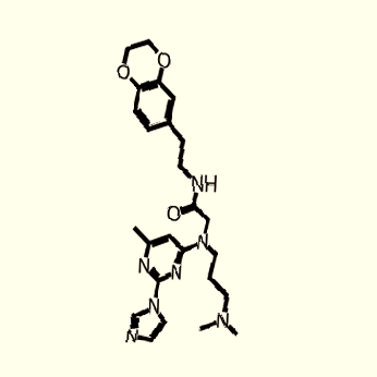 Cc1cc(N(CCCN(C)C)CC(=O)NCCc2ccc3c(c2)OCCO3)nc(-n2ccnc2)n1